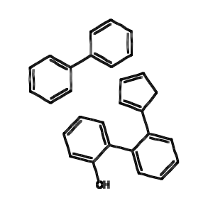 Oc1ccccc1-c1ccccc1C1=CC=CC1.c1ccc(-c2ccccc2)cc1